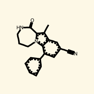 Cc1c2n(c3c(-c4ccccc4)cc(C#N)cc13)CCCNC2=O